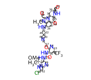 COC(C)c1c(NC(=O)Nc2cc(C(F)(F)F)cnc2OCCN2CC3(CC(Nc4cccc5c4N(C)C(=C=O)N5C4CCC(=C=O)NC4=C=O)C3)C2)cnc2cc(Cl)nn12